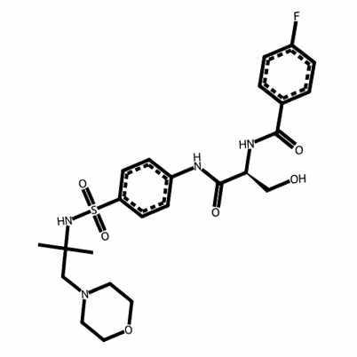 CC(C)(CN1CCOCC1)NS(=O)(=O)c1ccc(NC(=O)[C@H](CO)NC(=O)c2ccc(F)cc2)cc1